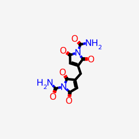 NC(=O)N1C(=O)C=C(CC2=CC(=O)N(C(N)=O)C2=O)C1=O